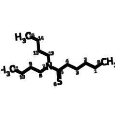 CCCCCC(=S)N(CCCC)CCCC